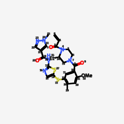 C=CC(=O)N1CCN(C(=O)c2cc(Sc3cnc(NC(=O)c4cnn(C)c4)s3)c(C)cc2OC)C[C@H]1CC